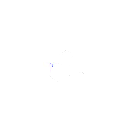 CN1CCCC(C#N)c2ccccc21